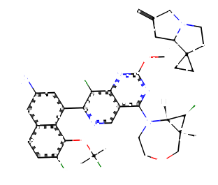 [2H]C([2H])(F)Oc1c(F)ccc2cc(N)cc(-c3ncc4c(N5CCOC[C@H]6[C@H](F)[C@H]65)nc(OC[C@]56CC(=C)CN5CCC65CC5)nc4c3F)c12